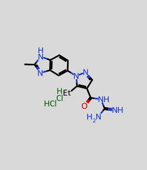 CCc1c(C(=O)NC(=N)N)cnn1-c1ccc2[nH]c(C)nc2c1.Cl.Cl